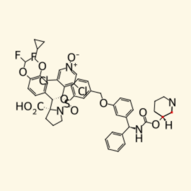 O=C(N[C@@H](c1ccccc1)c1cccc(OCc2cccc(S(=O)(=O)N3CCC[C@@]3(C(=O)O)[C@@H](Cc3c(Cl)c[n+]([O-])cc3Cl)c3ccc(OC(F)F)c(OCC4CC4)c3)c2)c1)O[C@H]1CN2CCC1CC2